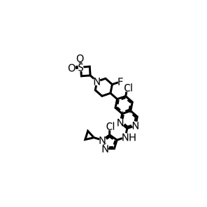 O=S1(=O)CC(N2CCC(c3cc4nc(Nc5cnn(C6CC6)c5Cl)ncc4cc3Cl)C(F)C2)C1